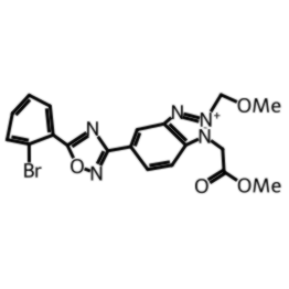 COC[n+]1nc2cc(-c3noc(-c4ccccc4Br)n3)ccc2n1CC(=O)OC